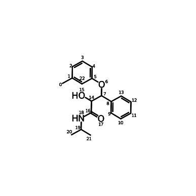 Cc1cccc(OC(c2ccccc2)C(O)C(=O)NC(C)C)c1